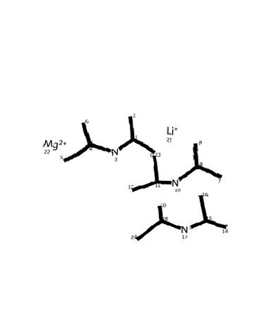 CC(C)[N-]C(C)C.CC(C)[N-]C(C)C.CC(C)[N-]C(C)C.[Li+].[Mg+2]